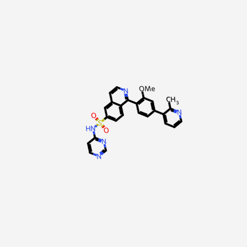 COc1cc(-c2cccnc2C)ccc1-c1nccc2cc(S(=O)(=O)Nc3ccncn3)ccc12